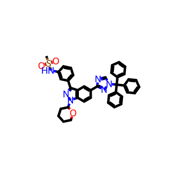 CS(=O)(=O)Nc1cccc(-c2nn(C3CCCCO3)c3ccc(-c4ncn(C(c5ccccc5)(c5ccccc5)c5ccccc5)n4)cc23)c1